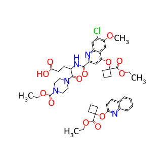 CCOC(=O)C1(Oc2ccc3ccccc3n2)CCC1.CCOC(=O)N1CCN(C(=O)C(CCC(=O)O)NC(=O)c2cc(OC3(C(=O)OCC)CCC3)c3cc(OC)c(Cl)cc3n2)CC1